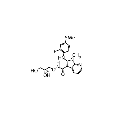 CSc1ccc(Nc2c(C(=O)NOC[C@@H](O)CO)c3cccnc3n2C)c(F)c1